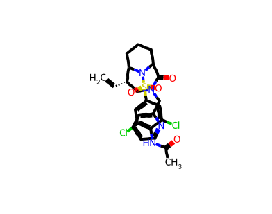 C=C[C@H]1CN(Cc2ccccn2)C(=O)C2CCCC1N2S(=O)(=O)c1cc(Cl)c(NC(C)=O)c(Cl)c1